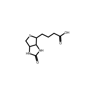 O=C(O)CCCC1SCC2NC(=O)NC21